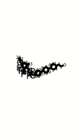 CCCC1CCC(C2CCC(c3ccc(OC(F)(F)CCc4c(C)cc(OCC)c(F)c4C(F)(F)F)cc3)CC2)CC1